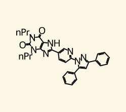 CCCn1c(=O)c2[nH]c(-c3ccc(-n4nc(-c5ccccc5)cc4-c4ccccc4)nc3)nc2n(CCC)c1=O